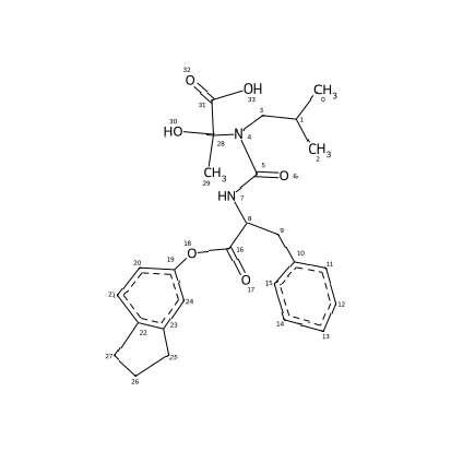 CC(C)CN(C(=O)NC(Cc1ccccc1)C(=O)Oc1ccc2c(c1)CCC2)C(C)(O)C(=O)O